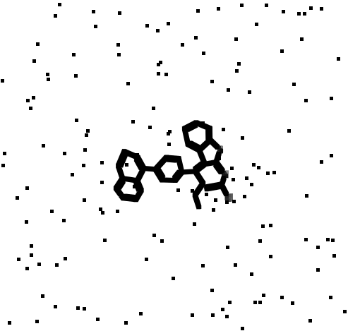 C=C(Cl)/N=C1/Sc2ccccc2/C1=C(/CCC)c1ccc(-c2cccc3ccccc23)cc1